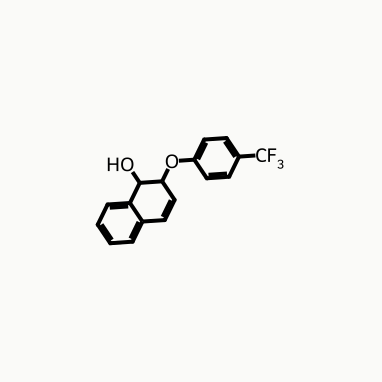 OC1c2ccccc2C=CC1Oc1ccc(C(F)(F)F)cc1